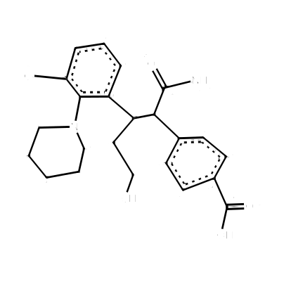 CCCC(c1cccc(Cl)c1N1CCCCC1)C(C(N)=O)c1ccc(C(=O)O)cc1